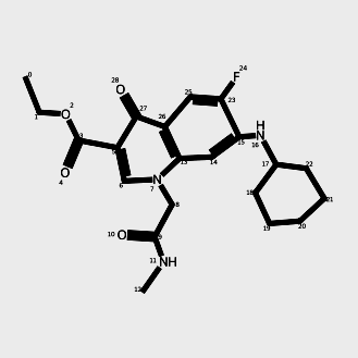 CCOC(=O)c1cn(CC(=O)NC)c2cc(NC3CCCCC3)c(F)cc2c1=O